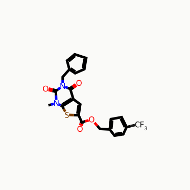 Cn1c(=O)n(Cc2ccccc2)c(=O)c2cc(C(=O)OCc3ccc(C(F)(F)F)cc3)sc21